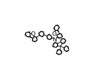 c1ccc(C2(c3ccccc3)c3ccccc3-c3c(N(c4ccc(-c5cccc(-c6cccc7c6oc6ccccc67)c5)cc4)c4cccc5c4oc4ccccc45)cccc32)cc1